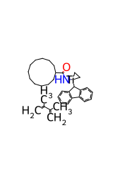 C=C(C)C(=C)C.O=C([NH][Ti]1([CH]2c3ccccc3-c3ccccc32)[CH2][CH2]1)C1CCCCCCCCCCC1